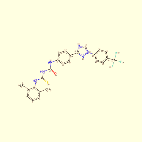 Cc1cccc(C)c1NC(=S)NC(=O)Nc1ccc(-c2ncn(-c3ccc(C(F)(F)F)cc3)n2)cc1